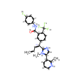 C=C/C=C(/c1ccc(C(F)(F)F)c(C(=O)Nc2ccc(F)cc2)c1)c1ncc(-c2cccnc2C)n1C